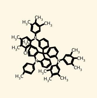 Cc1ccc(N2c3ccccc3C(c3cccc(N(c4cc(C)c(C)c(C)c4)c4cc(C)c(C)c(C)c4)c3)(c3cccc(N(c4cc(C)c(C)c(C)c4)c4cc(C)c(C)c(C)c4)c3)c3cc(C)ccc32)cc1